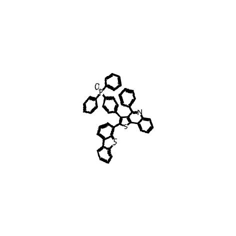 O=P(c1ccccc1)(c1ccccc1)c1ccc(-c2c(-c3cccc4c3sc3ccccc34)sc3c2c(-c2ccccc2)nc2ccccc23)cc1